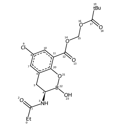 CCC(=O)N[C@H]1Cc2cc(Cl)cc(C(=O)OCOC(=O)C(C)(C)C)c2OB1O